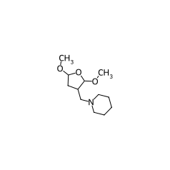 COC1CC(CN2CCCCC2)C(OC)O1